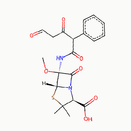 CO[C@@]1(NC(=O)C(C(=O)CC=O)c2ccccc2)C(=O)N2[C@@H](C(=O)O)C(C)(C)S[C@@H]21